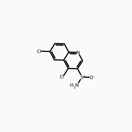 N[S+]([O-])c1cnc2ccc(Cl)cc2c1Cl